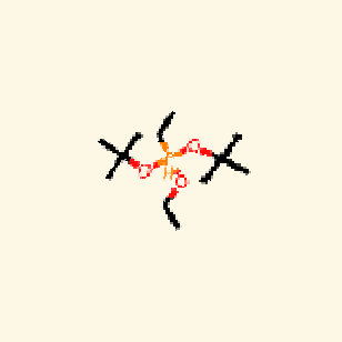 CCO[PH](CC)(OC(C)(C)C)OC(C)(C)C